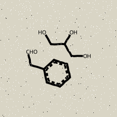 O=CCc1ccccc1.OCC(O)CO